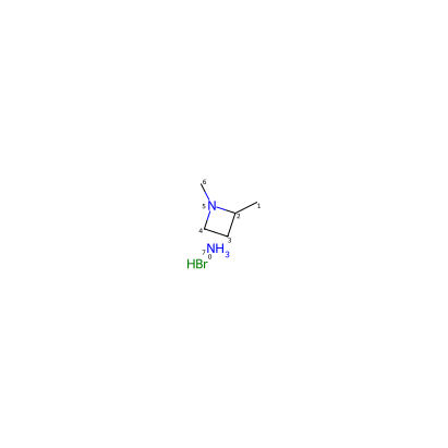 Br.CC1CCN1C.N